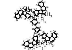 CC1(C)c2cc(N(c3ccc(-c4ccc(N(c5ccc6c(c5)C(C)(C)c5ccc7ccccc7c5-6)c5ccc6c(c5)C(C)(C)c5ccc7ccccc7c5-6)cc4)cc3)c3ccc4c(c3)C(C)(C)c3ccc5ccccc5c3-4)ccc2-c2c1ccc1ccccc21